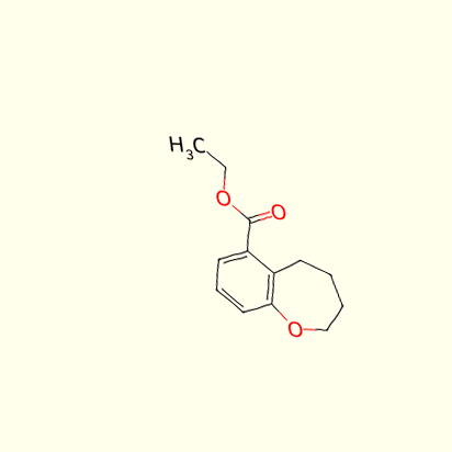 CCOC(=O)c1cccc2c1CCCCO2